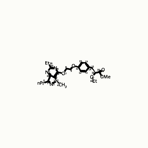 CCCc1nn(C)c2c(OCCOc3ccc(C[C@H](OCC)C(=O)OC)cc3)nc(CC)nc12